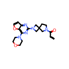 C=CC(=O)N1CCC2(C1)CN(c1nc(N3CCOCC3)c3occc3n1)C2